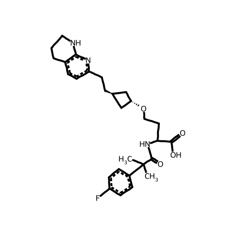 CC(C)(C(=O)NC(CCO[C@H]1C[C@H](CCc2ccc3c(n2)NCCC3)C1)C(=O)O)c1ccc(F)cc1